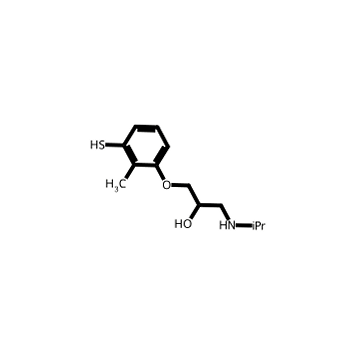 Cc1c(S)cccc1OCC(O)CNC(C)C